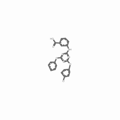 O=C(O)c1cccc(Nc2nc(Oc3ccccc3)nc(Oc3ccc(Cl)cc3)n2)c1